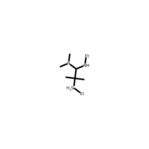 CCNC(N(C)C)C(C)(C)[SiH2]CC